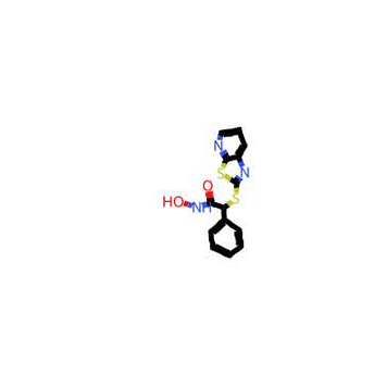 O=C(NO)C(Sc1nc2cccnc2s1)c1ccccc1